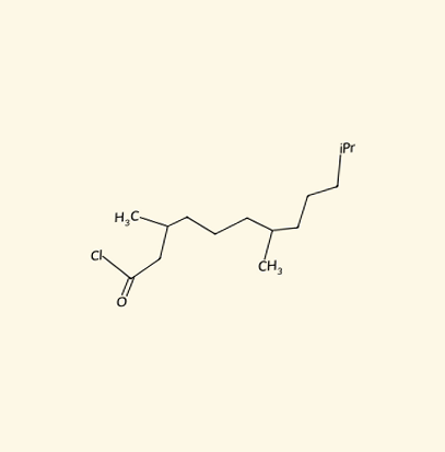 CC(C)CCCC(C)CCCC(C)CC(=O)Cl